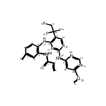 C=CC(=O)Nc1cc(C)ccc1Nc1nc(Nc2cc(OC)ncn2)ncc1C(F)(F)CF